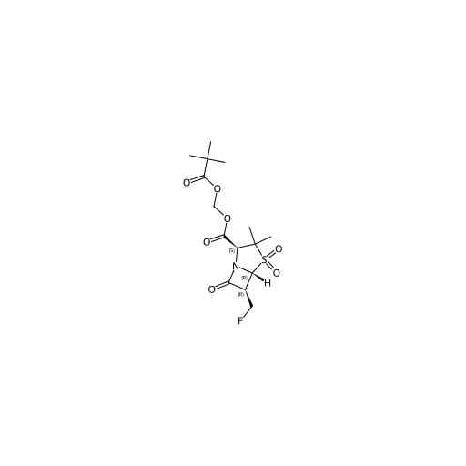 CC(C)(C)C(=O)OCOC(=O)[C@@H]1N2C(=O)[C@H](CF)[C@H]2S(=O)(=O)C1(C)C